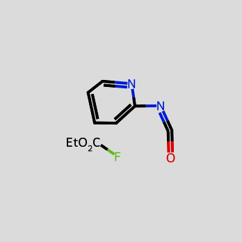 CCOC(=O)F.O=C=Nc1ccccn1